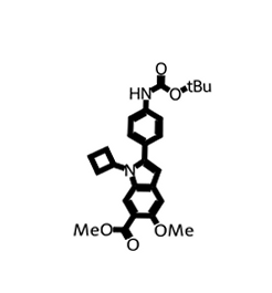 COC(=O)c1cc2c(cc1OC)cc(-c1ccc(NC(=O)OC(C)(C)C)cc1)n2C1CCC1